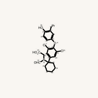 CC(C)c1cc(Oc2c(Cl)cc(C3(N(C=O)CC(=O)O)CCCCC3)cc2Cl)ccc1O